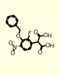 O=C(O)C(C(=O)O)c1ccc([N+](=O)[O-])c(OCc2ccccc2)c1F